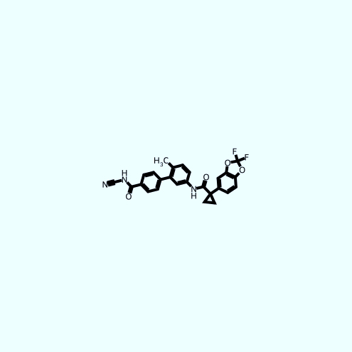 Cc1ccc(NC(=O)C2(c3ccc4c(c3)OC(F)(F)O4)CC2)cc1-c1ccc(C(=O)NC#N)cc1